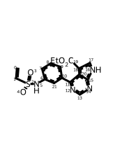 C=CS(=O)(=O)Nc1cccc(-c2ncnc3[nH]cc(C(=O)OCC)c23)c1